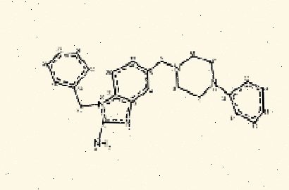 Nc1nc2cc(CN3CCN(c4ccccc4)CC3)ccc2n1Cc1ccccc1